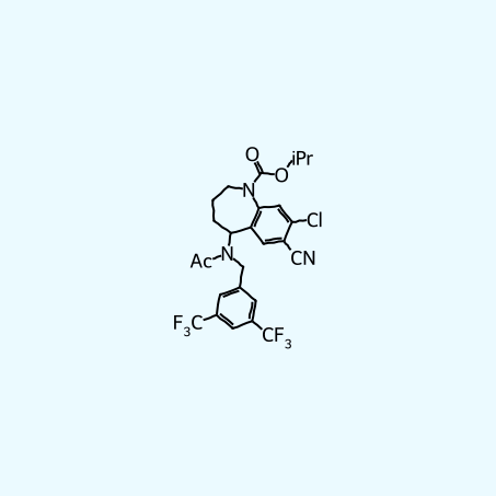 CC(=O)N(Cc1cc(C(F)(F)F)cc(C(F)(F)F)c1)C1CCCN(C(=O)OC(C)C)c2cc(Cl)c(C#N)cc21